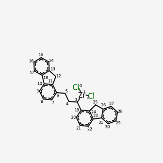 [Cl][Zr]([Cl])[CH](CCc1cccc2c1Cc1ccccc1-2)c1cccc2c1Cc1ccccc1-2